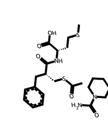 CSCC[C@H](NC(=O)[C@H](CSC(C)=O)Cc1ccccc1)C(=O)O.NC(=O)N1CCCCC1